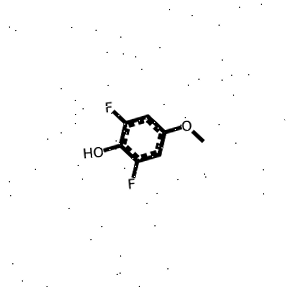 COc1cc(F)c(O)c(F)c1